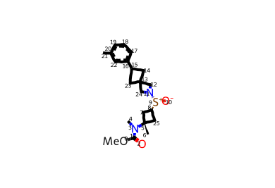 COC(=O)N(C)[C@]1(C)C[C@H]([S+]([O-])N2CC3(CC(c4cccc(C)c4)C3)C2)C1